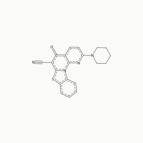 N#Cc1c(=O)c2ccc(N3CCCCC3)nc2n2c1sc1ccccc12